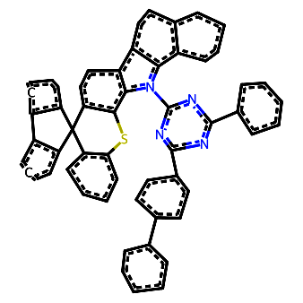 c1ccc(-c2ccc(-c3nc(-c4ccccc4)nc(-n4c5c6c(ccc5c5ccc7ccccc7c54)C4(c5ccccc5S6)c5ccccc5-c5ccccc54)n3)cc2)cc1